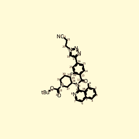 Cc1cccc2ccnc(N(C(=O)c3ccc(-c4cn(CCC#N)nn4)cc3F)[C@@H]3CCCN(C(=O)OC(C)(C)C)C3)c12